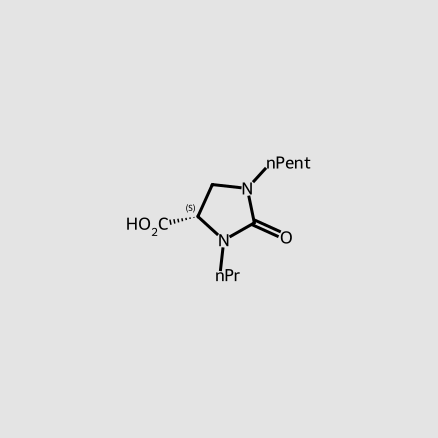 CCCCCN1C[C@@H](C(=O)O)N(CCC)C1=O